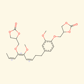 C\C=C/C(OCC1COC(=O)O1)=C(\C=C/CCc1ccc(OCC2COC(=O)O2)c(OC)c1)OC